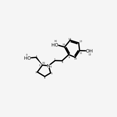 OC[C@@H]1CCCN1CCc1cc(O)ccc1O